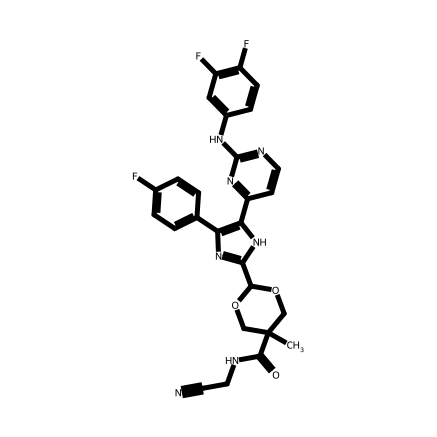 CC1(C(=O)NCC#N)COC(c2nc(-c3ccc(F)cc3)c(-c3ccnc(Nc4ccc(F)c(F)c4)n3)[nH]2)OC1